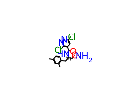 Cc1ccc(C[C@H](CON)NC(=O)c2cc(Cl)nnc2Cl)c(C)c1